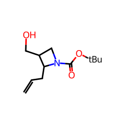 C=CCC1C(CO)CN1C(=O)OC(C)(C)C